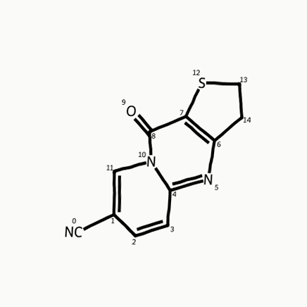 N#Cc1ccc2nc3c(c(=O)n2c1)SCC3